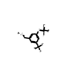 CCc1cc(SC(F)(F)F)cc(C(F)(F)F)c1